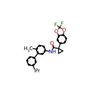 Cc1ccc(NC(=O)C2(c3ccc4c(c3)OC(F)(F)O4)CC2)cc1-c1cccc(C(C)C)c1